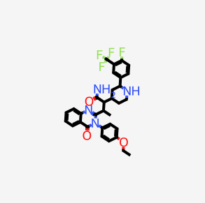 CCOc1ccc(-n2c(C(C)C(C(N)=O)C3CCNC(c4ccc(F)c(C(F)(F)F)c4)C3)nc3ccccc3c2=O)cc1